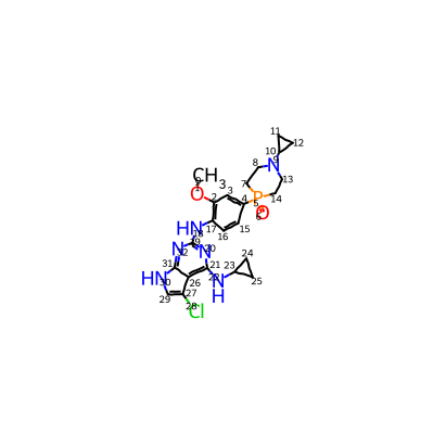 COc1cc(P2(=O)CCN(C3CC3)CC2)ccc1Nc1nc(NC2CC2)c2c(Cl)c[nH]c2n1